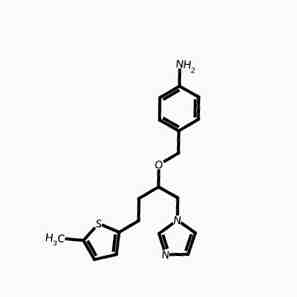 Cc1ccc(CCC(Cn2ccnc2)OCc2ccc(N)cc2)s1